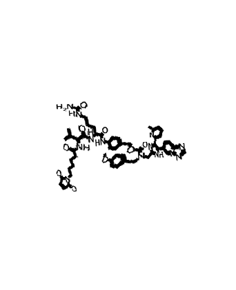 COc1ccc(CN(Cc2nc(-c3cccc(C)n3)c(-c3ccc4ncnn4c3)[nH]2)C(=O)OCc2ccc(NC(=O)C(CCCNC(N)=O)NC(=O)C(NC(=O)CCCCCN3C(=O)C=CC3=O)C(C)C)cc2)cc1